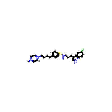 CN1CCN(CCCCc2ccc(SNCCCc3c[nH]c4ccc(Cl)cc34)cc2)CC1